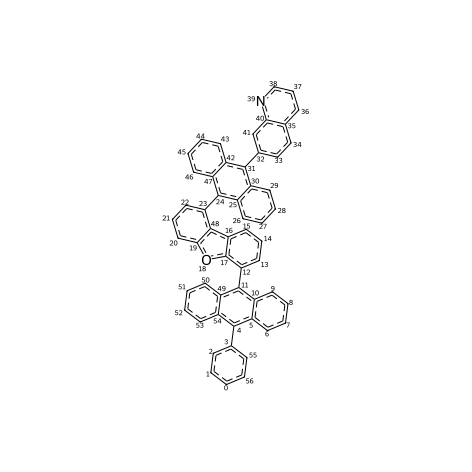 c1ccc(-c2c3ccccc3c(-c3cccc4c3oc3cccc(-c5c6ccccc6c(-c6ccc7cccnc7c6)c6ccccc56)c34)c3ccccc23)cc1